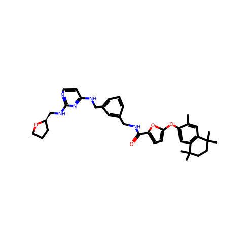 Cc1cc2c(cc1Oc1ccc(C(=O)NCc3cccc(CNc4ccnc(NC[C@H]5CCCO5)n4)c3)o1)C(C)(C)CCC2(C)C